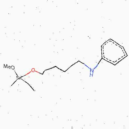 CO[Si](C)(C)OCCCCNc1ccccc1